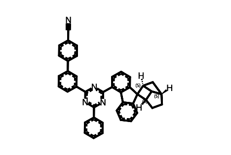 N#Cc1ccc(-c2cccc(-c3nc(-c4ccccc4)nc(-c4cccc5c4-c4ccccc4C54[C@H]5CC[C@H]6C[C@H]4C65)n3)c2)cc1